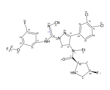 CCN(C(=O)[C@H]1C[C@@H](F)CN1)C1CN(/C(=N\C#N)Nc2cc(F)cc(OC(F)(F)F)c2)N=C1c1ccc(Cl)c(Cl)c1